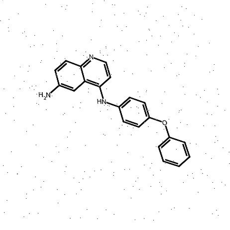 Nc1ccc2nccc(Nc3ccc(Oc4ccccc4)cc3)c2c1